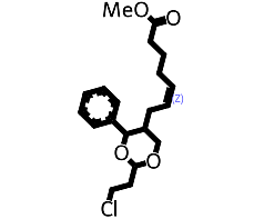 COC(=O)CCC/C=C\CC1COC(CCCl)OC1c1ccccc1